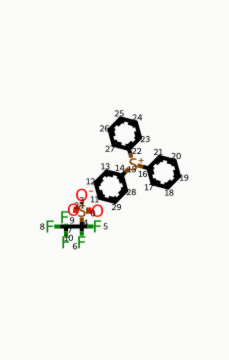 O=S(=O)([O-])C(F)(F)C(F)(F)F.c1ccc([S+](c2ccccc2)c2ccccc2)cc1